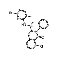 CCc1ncc(C)c(N[C@@H](C)c2cc3cccc(Cl)c3c(=O)n2-c2ccccc2)n1